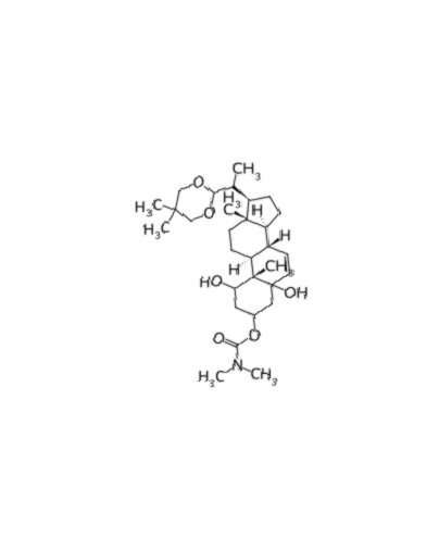 CC(C1OCC(C)(C)CO1)[C@H]1CC[C@H]2[C@@H]3C=CC4(O)CC(OC(=O)N(C)C)CC(O)[C@]4(C)[C@H]3CC[C@]12C